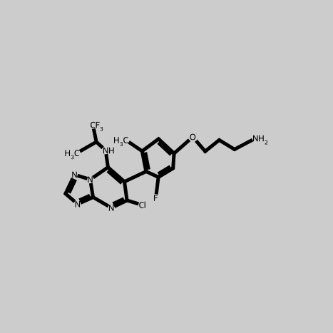 Cc1cc(OCCCN)cc(F)c1-c1c(Cl)nc2ncnn2c1NC(C)C(F)(F)F